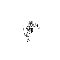 COC1CCN(C(=O)c2ccc(C(F)(F)F)c(C3CN(c4cc(N)nc(N)n4)CCN3)c2)CC1